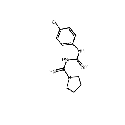 N=C(NC(=N)N1CCCC1)Nc1ccc(Cl)cc1